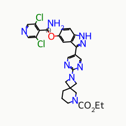 CCOC(=O)N1CCCC2(C1)CN(c1ncc(-c3n[nH]c4ccc(O[C@H](N)c5c(Cl)cncc5Cl)cc34)cn1)C2